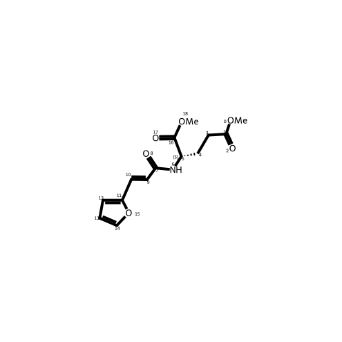 COC(=O)CC[C@H](NC(=O)C=Cc1ccco1)C(=O)OC